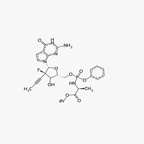 CC#C[C@@]1(F)C(O)[C@@H](COP(=O)(N[C@@H](C)C(=O)OC(C)C)Oc2ccccc2)O[C@H]1n1ccc2c(=O)[nH]c(N)nc21